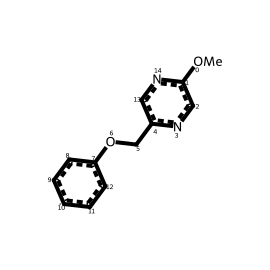 COc1cnc(COc2cc[c]cc2)cn1